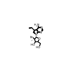 C=Cc1cn([C@@H]2OC(CO)C(O)[C@@]2(C)Br)c2ncnc(N)c12